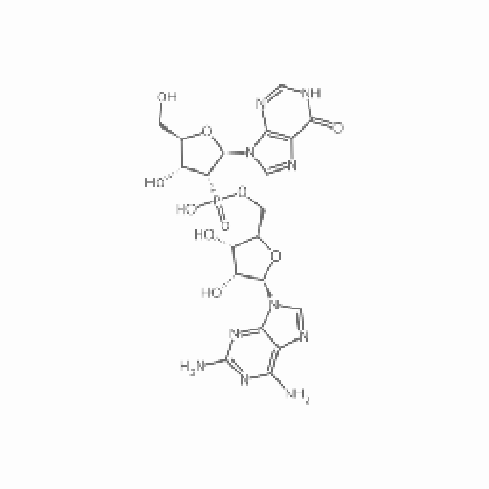 Nc1nc(N)c2ncn([C@@H]3O[C@H](COP(=O)(O)[C@@H]4[C@H](O)[C@@H](CO)O[C@H]4n4cnc5c(=O)[nH]cnc54)[C@@H](O)[C@H]3O)c2n1